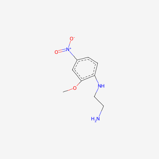 COc1cc([N+](=O)[O-])ccc1NCCN